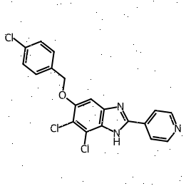 Clc1ccc(COc2cc3nc(-c4ccncc4)[nH]c3c(Cl)c2Cl)cc1